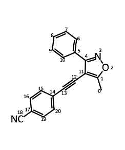 Cc1onc(-c2ccccc2)c1C#Cc1ccc(C#N)cc1